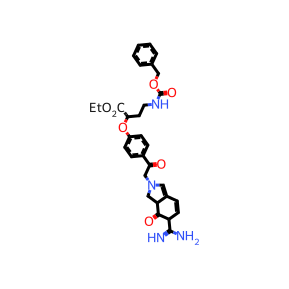 CCOC(=O)C(CCNC(=O)OCc1ccccc1)Oc1ccc(C(=O)CN2C=C3C=CC(C(=N)N)C(=O)C3C2)cc1